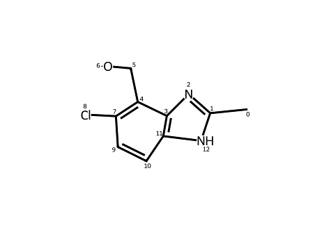 Cc1nc2c(C[O])c(Cl)ccc2[nH]1